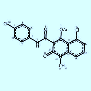 CC(=O)Oc1c(C(=O)Nc2ccc(Cl)cc2)c(=O)n(C)c2cccc(Cl)c12